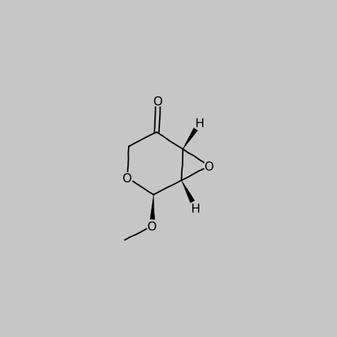 CO[C@H]1OCC(=O)[C@@H]2O[C@H]12